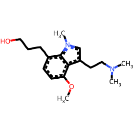 COc1ccc(CCCO)c2c1c(CCN(C)C)cn2C